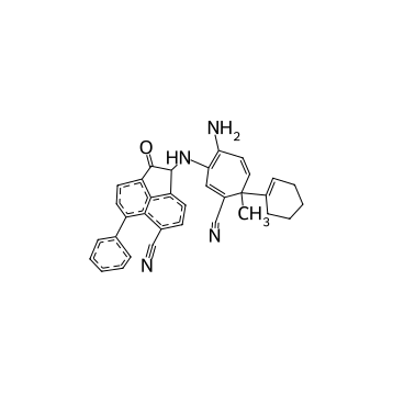 CC1(C2=CCCCC2)C=CC(N)=C(NC2C(=O)c3ccc(-c4ccccc4)c4c(C#N)ccc2c34)C=C1C#N